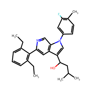 CCc1cccc(CC)c1-c1cc2c(C(O)CC(C)C)cn(-c3ccc(C)c(F)c3)c2cn1